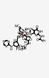 CC(C)C(=O)Nc1nc2c(ncn2[C@@H]2O[C@@H]3COP(=O)(O)O[C@@H]4[C@@H](CO[P@](=O)(OCCC#N)O[C@@H]2[C@@H]3O[Si](O[Si](O)(C(C)C)C(C)C)(C(C)C)C(C)C)C[C@@H](Nc2ncncn2)[C@@H]4F)c(=O)[nH]1